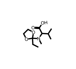 CCC1(N(C)C(C(=O)O)C(C)C)OCCO1